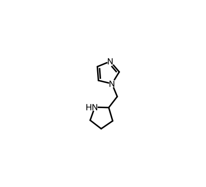 c1cn(CC2CCCN2)cn1